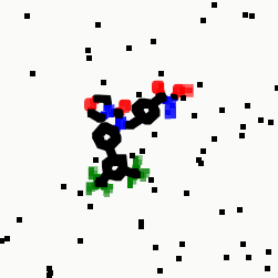 O=C(NO)c1ccc(CN(C(=O)N2CCOCC2)c2cccc(-c3cc(C(F)(F)F)cc(C(F)(F)F)c3)c2)cc1